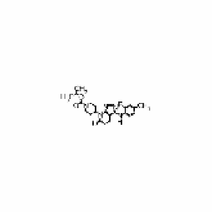 Cc1ccc(Nc2ncnc3c2CCC(=O)N3C2CCN(C(=O)OC(C)C)CC2)c(F)c1